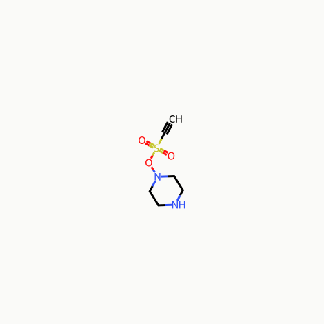 C#CS(=O)(=O)ON1CCNCC1